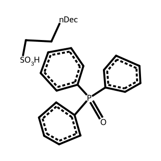 CCCCCCCCCCCCS(=O)(=O)O.O=P(c1ccccc1)(c1ccccc1)c1ccccc1